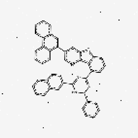 c1ccc(C2N=C(c3cccc4oc5cc(-c6cc7ccccc7c7ccccc67)cnc5c34)N=C(c3ccc4ccccc4c3)N2)cc1